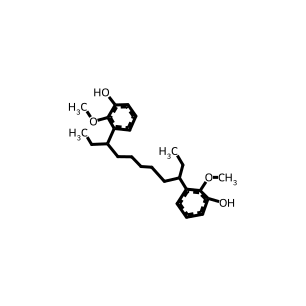 CCC(CCCCCC(CC)c1cccc(O)c1OC)c1cccc(O)c1OC